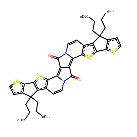 CCCCCCCCCCCCC1(CCCCCCCCCCCC)c2ccsc2-c2sc3c(c21)C=CN1C(=O)C2=C4c5sc6c(c5C=CN4C(=O)C2=C31)C(CCCCCCCCCCCC)(CCCCCCCCCCCC)c1ccsc1-6